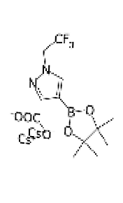 CC1(C)OB(c2cnn(CC(F)(F)F)c2)OC1(C)C.O=C([O-])[O-].[Cs+].[Cs+]